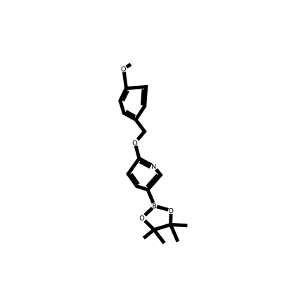 COc1ccc(COc2ccc(B3OC(C)(C)C(C)(C)O3)cn2)cc1